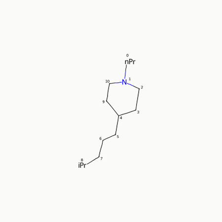 CCCN1CCC(CCCC(C)C)CC1